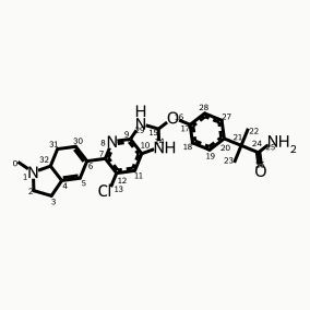 CN1CCC2=CC(c3nc4c(cc3Cl)NC(Oc3ccc(C(C)(C)C(N)=O)cc3)N4)=CCC21